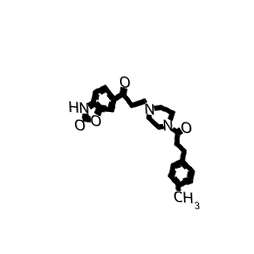 Cc1ccc(CCC(=O)N2CCN(CCC(=O)c3ccc4[nH]c(=O)oc4c3)CC2)cc1